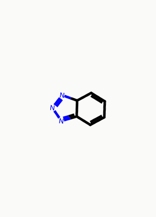 C1=CC2=NN=NC2C=C1